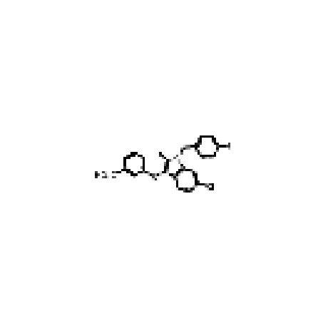 Cc1c(Sc2cccc(C(=O)O)c2)c2ccc(Cl)cc2n1Cc1ccc(F)cc1